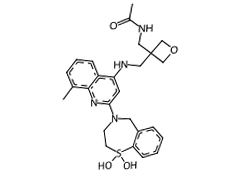 CC(=O)NCC1(CNc2cc(N3CCS(O)(O)c4ccccc4C3)nc3c(C)cccc23)COC1